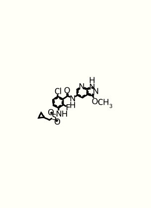 COc1n[nH]c2ncc(NC(=O)c3c(Cl)ccc(NS(=O)(=O)CC4CC4)c3F)cc12